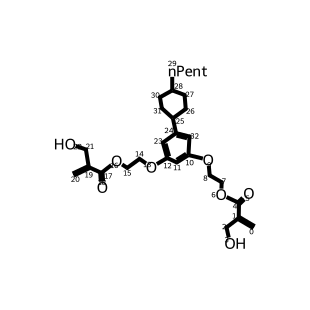 C=C(CO)C(=O)OCCOc1cc(OCCOC(=O)C(=C)CO)cc(C2CCC(CCCCC)CC2)c1